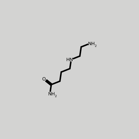 NCCNCCCC(N)=O